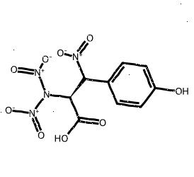 O=C(O)[C@H](C(c1ccc(O)cc1)[N+](=O)[O-])N([N+](=O)[O-])[N+](=O)[O-]